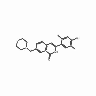 Cc1cc(-c2cc3ccc(CN4CCOCC4)cc3c(=O)[nH]2)c(C)cc1O